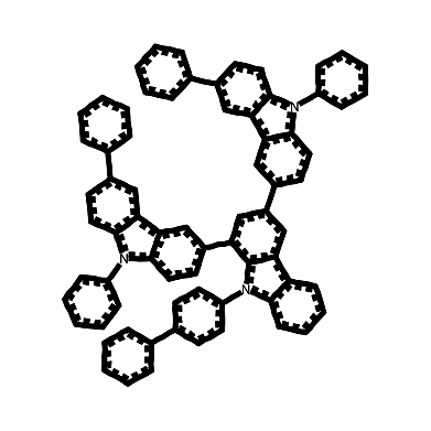 c1ccc(-c2ccc(-n3c4ccccc4c4cc(-c5ccc6c(c5)c5cc(-c7ccccc7)ccc5n6-c5ccccc5)cc(-c5ccc6c(c5)c5cc(-c7ccccc7)ccc5n6-c5ccccc5)c43)cc2)cc1